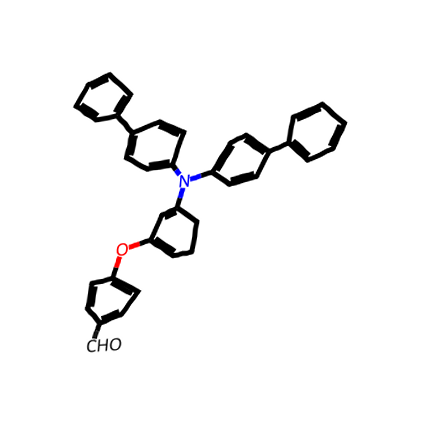 O=Cc1ccc(OC2=CCCC(N(c3ccc(-c4ccccc4)cc3)c3ccc(-c4ccccc4)cc3)=C2)cc1